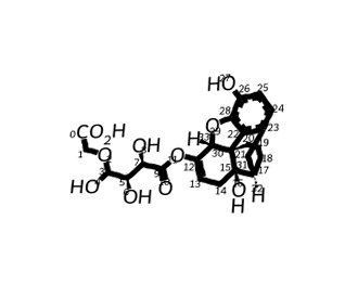 O=C(O)COC(O)[C@H](O)[C@@H](O)C(=O)OC1=CC[C@@]2(O)[C@@H]3CCC[C@@]24c2c(ccc(O)c2O[C@@H]14)C3